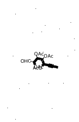 CC#CC(OC(C)=O)[C@@H](OC(C)=O)[C@@H](OC(C)=O)[C@@H](C=O)OC(C)=O